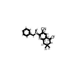 CN(Cc1ccccc1)c1nc2c(cc1C#N)C(=O)CC(C)(C)C2